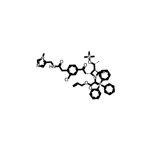 C=CCOC(=O)C(N1C(=O)[C@H]([C@@H](C)O[Si](C)(C)C)[C@H]1CC(=O)c1ccc(CC(=O)NCc2cncn2C)c(Cl)c1)=P(c1ccccc1)(c1ccccc1)c1ccccc1